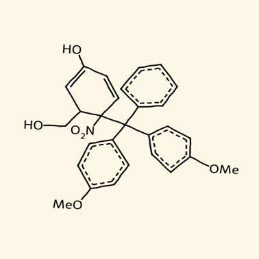 COc1ccc(C(c2ccccc2)(c2ccc(OC)cc2)C2([N+](=O)[O-])C=CC(O)=CC2CO)cc1